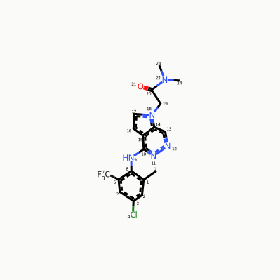 Cc1cc(Cl)cc(C(F)(F)F)c1Nc1nncc2c1ccn2CC(=O)N(C)C